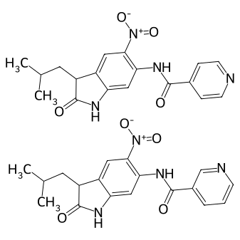 CC(C)CC1C(=O)Nc2cc(NC(=O)c3cccnc3)c([N+](=O)[O-])cc21.CC(C)CC1C(=O)Nc2cc(NC(=O)c3ccncc3)c([N+](=O)[O-])cc21